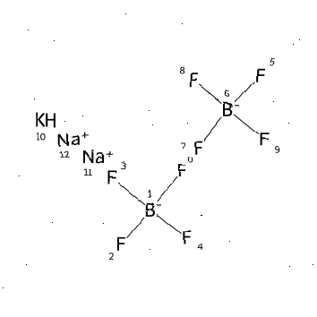 F[B-](F)(F)F.F[B-](F)(F)F.[KH].[Na+].[Na+]